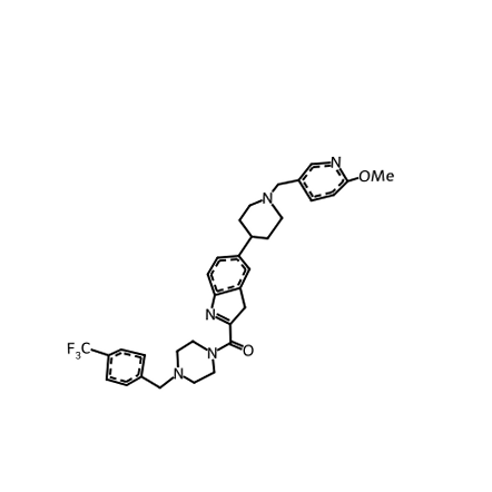 COc1ccc(CN2CCC(c3ccc4c(c3)CC(C(=O)N3CCN(Cc5ccc(C(F)(F)F)cc5)CC3)=N4)CC2)cn1